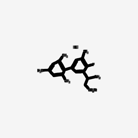 CCOC(=O)CC(N)c1cc(-c2c(C)cc(C)cc2C)cc(C(F)(F)F)c1F.Cl